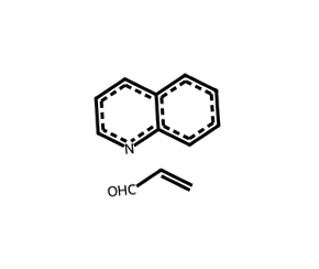 C=CC=O.c1ccc2ncccc2c1